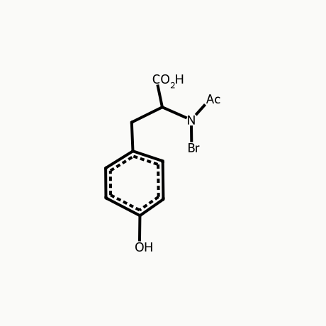 CC(=O)N(Br)C(Cc1ccc(O)cc1)C(=O)O